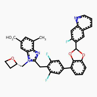 Cc1cc(C(=O)O)cc2c1nc(Cc1c(F)cc(-c3cccc4c3OC(c3cc5cccnc5cc3F)O4)cc1F)n2C[C@@H]1CCO1